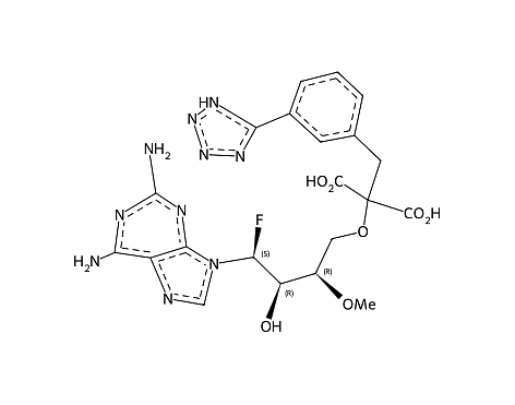 CO[C@H](COC(Cc1cccc(-c2nnn[nH]2)c1)(C(=O)O)C(=O)O)[C@@H](O)[C@H](F)n1cnc2c(N)nc(N)nc21